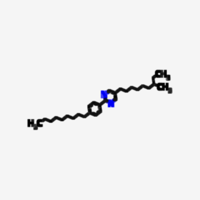 CCCCCCCCCc1ccc(-c2ncc(CCCCCCC(C)CC)cn2)cc1